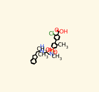 Cc1cc(S(=O)(=O)N(C)CC(O)CNC(C)(C)CC2Cc3ccccc3C2)ccc1-c1ccc(C(=O)O)c(Cl)c1